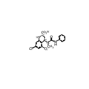 CN(C(=O)Nc1ccccc1)[C@@H]1C[C@@H](C(=O)O)Nc2cc(Cl)cc(Cl)c21